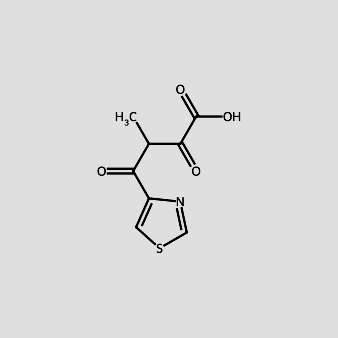 CC(C(=O)C(=O)O)C(=O)c1cscn1